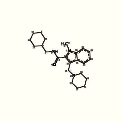 Cn1c(C(=O)NCC2CCCCC2)c(CN2CCCCC2)c2ccccc21